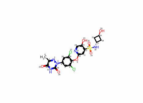 Cc1nn(-c2cc(Cl)c(Oc3cc(S(=O)(=O)N[C@H]4C[C@H](O)C4)c(O)cn3)c(Cl)c2)c(=O)[nH]c1=O